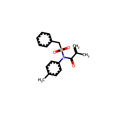 C=C(C)C(=O)N(c1ccc(C)cc1)S(=O)(=O)Cc1ccccc1